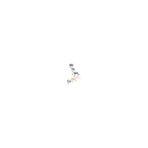 B.P.[Cu].[Fe].[Nb].[SiH4]